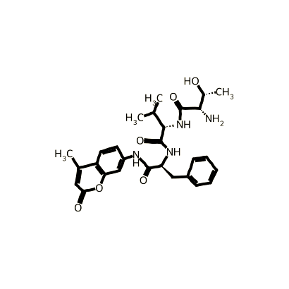 Cc1cc(=O)oc2cc(NC(=O)[C@H](Cc3ccccc3)NC(=O)[C@@H](NC(=O)[C@@H](N)[C@@H](C)O)C(C)C)ccc12